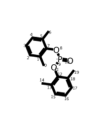 Cc1cccc(C)c1O[P](=O)Oc1c(C)cccc1C